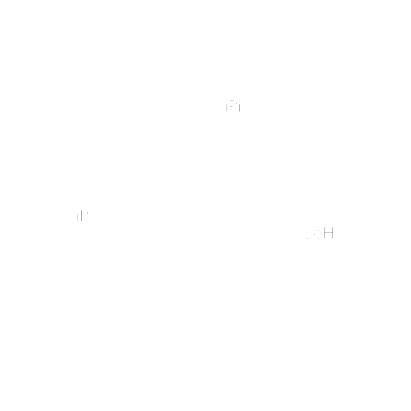 CC(C)c1ccc(-c2cccc([SeH])c2-c2ccc(C(C)C)cc2)cc1